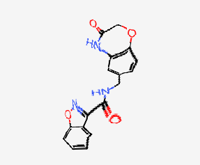 O=C1COc2ccc(CNC(=O)c3noc4ccccc34)cc2N1